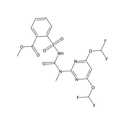 COC(=O)c1ccccc1S(=O)(=O)NC(=O)N(C)c1nc(OC(F)F)cc(OC(F)F)n1